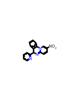 O=[N+]([O-])C1=CN2C(=NC(c3ccccn3)C3C4C=CC(C4)C32)C=C1